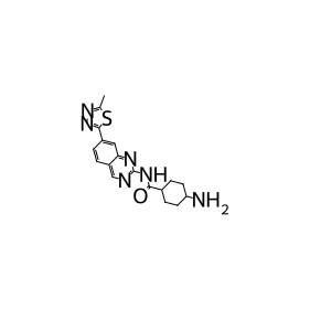 Cc1nnc(-c2ccc3cnc(NC(=O)C4CCC(N)CC4)nc3c2)s1